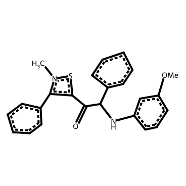 COc1cccc(NC(C(=O)c2sn(C)c2-c2ccccc2)c2ccccc2)c1